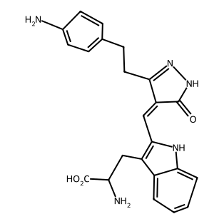 Nc1ccc(CCC2=NNC(=O)C2=Cc2[nH]c3ccccc3c2CC(N)C(=O)O)cc1